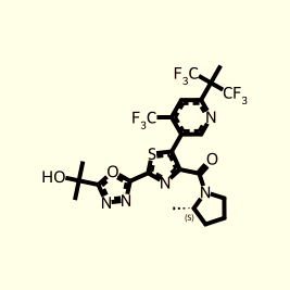 C[C@H]1CCCN1C(=O)c1nc(-c2nnc(C(C)(C)O)o2)sc1-c1cnc(C(C)(C(F)(F)F)C(F)(F)F)cc1C(F)(F)F